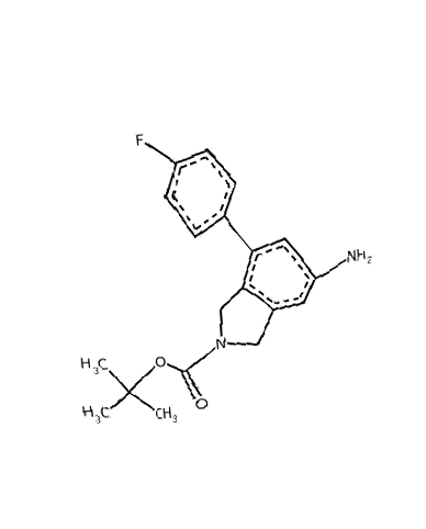 CC(C)(C)OC(=O)N1Cc2cc(N)cc(-c3ccc(F)cc3)c2C1